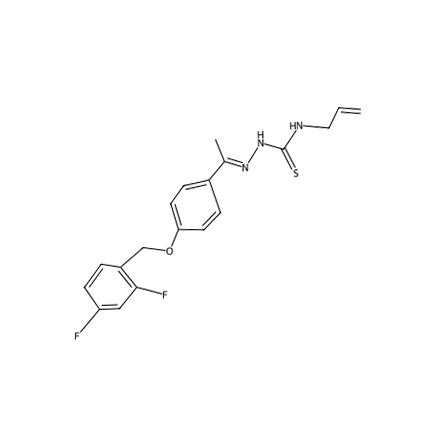 C=CCNC(=S)N/N=C(\C)c1ccc(OCc2ccc(F)cc2F)cc1